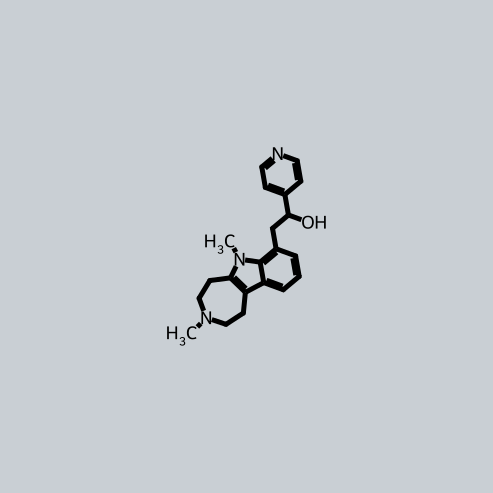 CN1CCc2c(n(C)c3c(CC(O)c4ccncc4)cccc23)CC1